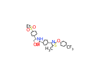 CCS(=O)(=O)c1ccc(C(CO)NC(=O)c2ccc(-c3nc(Oc4ccc(C(F)(F)F)cc4)sc3C)cc2)cc1